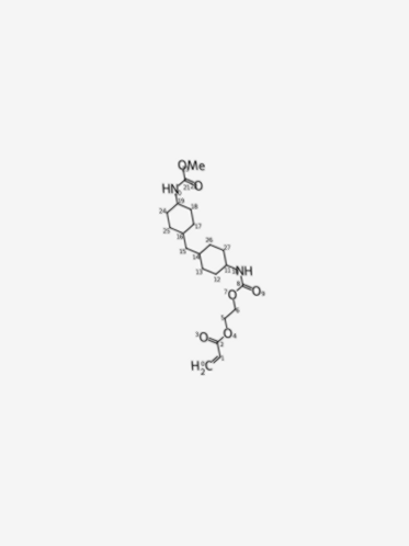 C=CC(=O)OCCOC(=O)NC1CCC(CC2CCC(NC(=O)OC)CC2)CC1